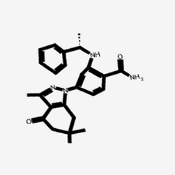 Cc1nn(-c2ccc(C(N)=O)c(N[C@@H](C)c3ccccc3)c2)c2c1C(=O)CC(C)(C)C2